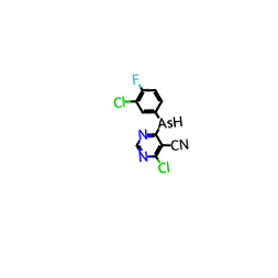 N#Cc1c(Cl)ncnc1[AsH]c1ccc(F)c(Cl)c1